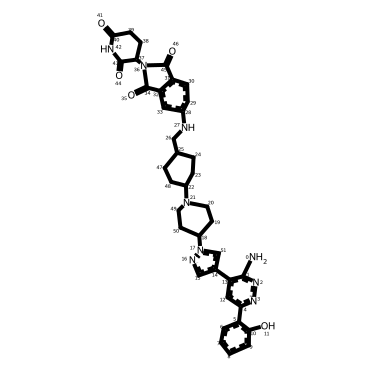 Nc1nnc(-c2ccccc2O)cc1-c1cnn(C2CCN(C3CCC(CNc4ccc5c(c4)C(=O)N(C4CCC(=O)NC4=O)C5=O)CC3)CC2)c1